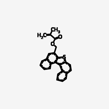 C=C(C)C(=O)OCc1cc2ccccc2c2c1sc1ccc3ccccc3c12